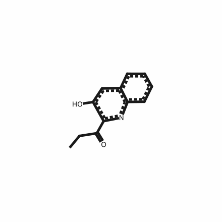 CCC(=O)c1nc2ccccc2cc1O